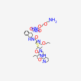 CCCO[C@H](CC(C(C)C)N(CCC)C(=O)[C@@H](NC(=O)[C@H]1CCCCN1C)[C@@H](C)CC)c1nc(C(=O)N[C@H]2Cc3ccccc3[C@H](C(=O)NNC(=O)OCCOCCN)C2)cs1